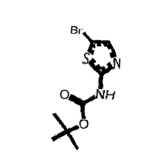 CC(C)(C)OC(=O)Nc1ncc(Br)s1